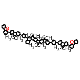 CC1(C)c2cc(-c3ccc(-c4ccc5c(c4)C(C)(C)c4cc6c(cc4-5)C(C)(C)c4cc5c(cc4-6)C(C)(C)c4cc(-c6ccc(-c7ccc8c(c7)C(C)(C)c7cc(-c9cccc%10c9oc9ccccc9%10)ccc7-8)cc6)c6ccccc6c4-5)cc3)ccc2-c2ccc(-c3cccc4c3oc3ccccc34)cc21